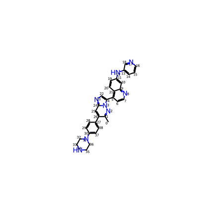 Cc1nn2c(-c3ccnc4cc(Nc5cccnc5)ccc34)cnc2cc1-c1ccc(N2CCNCC2)cc1